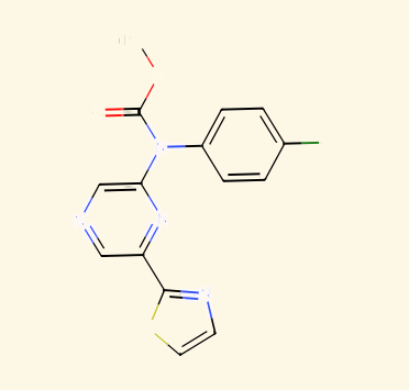 CC(C)(C)OC(=O)N(c1ccc(Cl)cc1)c1cncc(-c2nccs2)n1